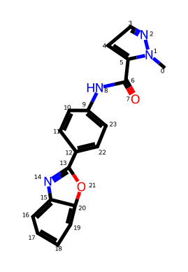 Cn1nccc1C(=O)Nc1ccc(-c2nc3ccccc3o2)cc1